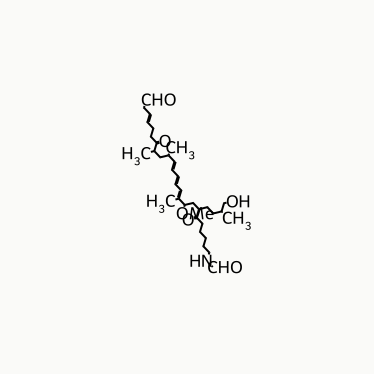 COC(CC(CC[C@@H](C)CO)C(=O)CCCCCNC=O)/C(C)=C/C=C/C=C/C(C)CC(C)C(=O)CC/C=C/CC=O